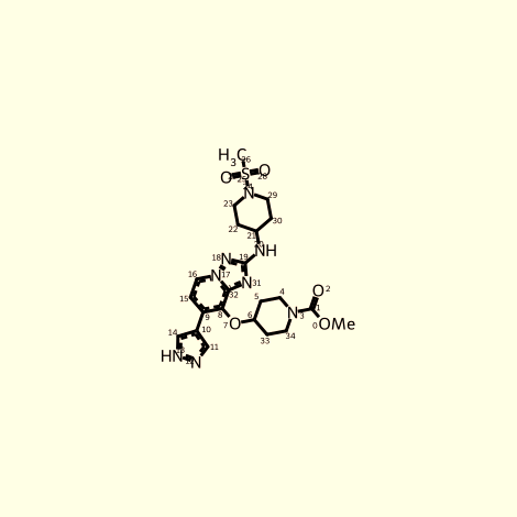 COC(=O)N1CCC(Oc2c(-c3cn[nH]c3)ccn3nc(NC4CCN(S(C)(=O)=O)CC4)nc23)CC1